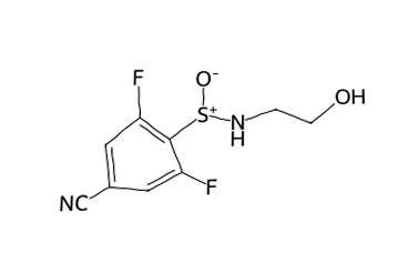 N#Cc1cc(F)c([S+]([O-])NCCO)c(F)c1